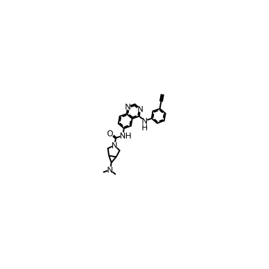 C#Cc1cccc(Nc2ncnc3ccc(NC(=O)N4CC5C(C4)C5N(C)C)cc23)c1